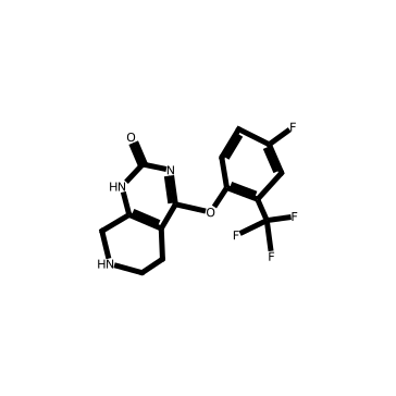 O=c1nc(Oc2ccc(F)cc2C(F)(F)F)c2c([nH]1)CNCC2